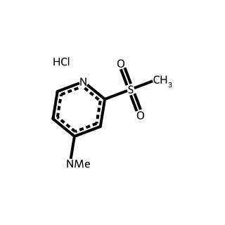 CNc1ccnc(S(C)(=O)=O)c1.Cl